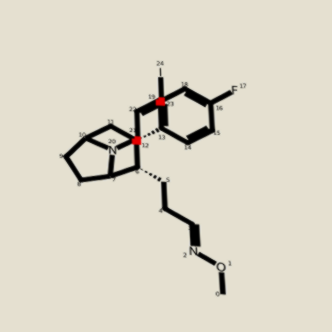 CON=CCC[C@@H]1C2CCC(C[C@@H]1c1ccc(F)cc1)N2CC=CI